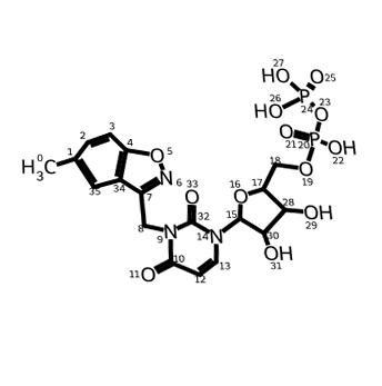 Cc1ccc2onc(Cn3c(=O)ccn(C4OC(COP(=O)(O)OP(=O)(O)O)C(O)C4O)c3=O)c2c1